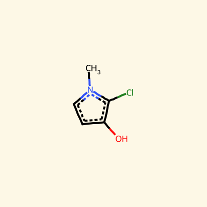 Cn1ccc(O)c1Cl